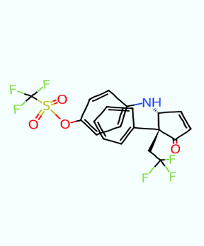 O=C1C=C[C@@H](Nc2ccc(OS(=O)(=O)C(F)(F)F)cc2)[C@@]1(CC(F)(F)F)c1ccccc1